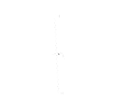 C=C.CCCCCCCCCCCCCCCCCNCCCCCCCCCCCCCCCCC